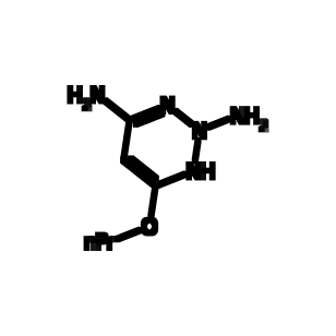 CCCOC1=CC(N)=NN(N)N1